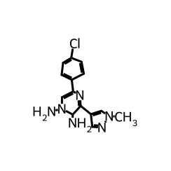 Cn1cc(C2=NC(c3ccc(Cl)cc3)=CN(N)C2N)cn1